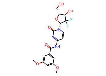 COc1cc(OC)cc(C(=O)Nc2ccn([C@@H]3O[C@H](CO)[C@@H](O)C3(F)F)c(=O)n2)c1